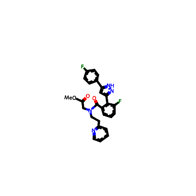 COC(=O)CN(CCc1ccccn1)C(=O)c1cccc(F)c1-c1cc(-c2ccc(F)cc2)[nH]n1